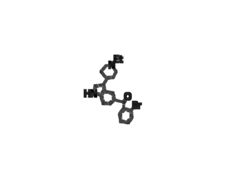 CCN1CC=C(c2c[nH]c3ccc(C(=O)c4ccccc4Br)cc23)CC1